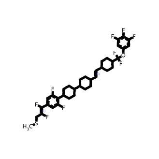 CSC/C(F)=C(\F)c1cc(F)c(C2CCC(C3CCC(/C=C/C4CCC(C(F)(F)Oc5cc(F)c(F)c(F)c5)CC4)CC3)CC2)c(F)c1